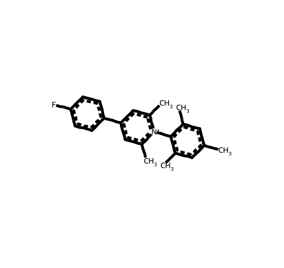 Cc1cc(C)c(-[n+]2c(C)cc(-c3ccc(F)cc3)cc2C)c(C)c1